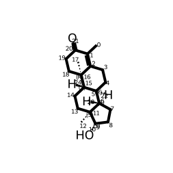 CC1=C2CC[C@H]3[C@@H]4CC[C@H](O)[C@@]4(C)CC[C@@H]3[C@@]2(C)CCC1=O